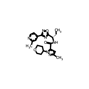 CC[C@H](NC(=O)c1cc(C)nn1C1CCOCC1)c1nc(-c2ccnc(C)c2)no1